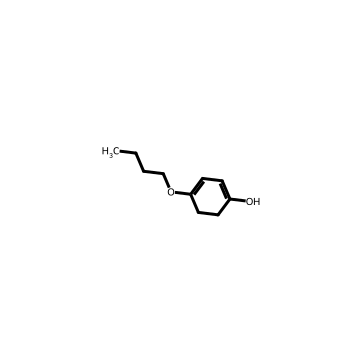 CCCCOC1=CC=C(O)CC1